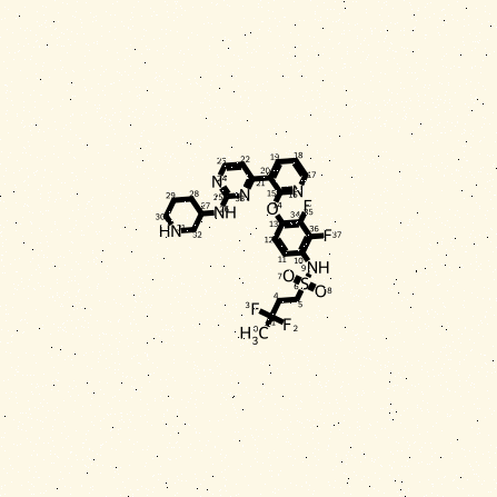 CC(F)(F)CCS(=O)(=O)Nc1ccc(Oc2ncccc2-c2ccnc(NC3CCCNC3)n2)c(F)c1F